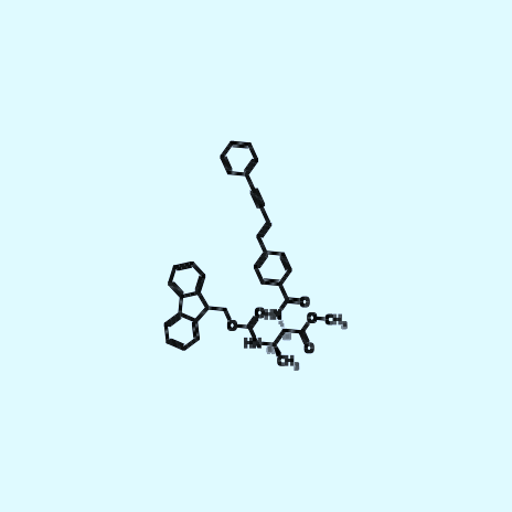 COC(=O)[C@@H](NC(=O)c1ccc(C=CC#Cc2ccccc2)cc1)[C@@H](C)NC(=O)OCC1c2ccccc2-c2ccccc21